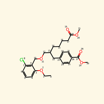 CCOc1cccc(Cl)c1COCC(CCCCC(=O)OC)Cc1ccc(C(=O)OC)cc1